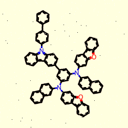 c1ccc(-c2ccc(-n3c4ccccc4c4cc(-c5cc(N(c6ccc7ccccc7c6)c6ccc7c(c6)oc6ccccc67)cc(N(c6ccc7ccccc7c6)c6ccc7c(c6)oc6ccccc67)c5)ccc43)cc2)cc1